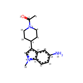 CC(=O)N1CCC(c2cn(C)c3ccc(N)cc23)CC1